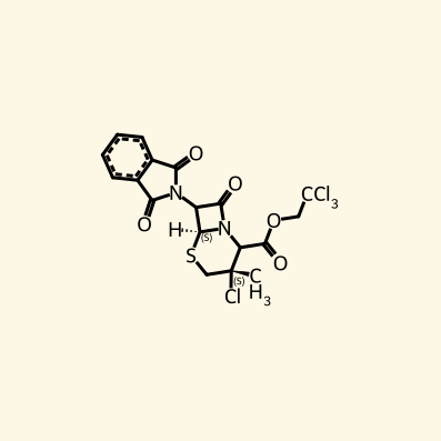 C[C@@]1(Cl)CS[C@H]2C(N3C(=O)c4ccccc4C3=O)C(=O)N2C1C(=O)OCC(Cl)(Cl)Cl